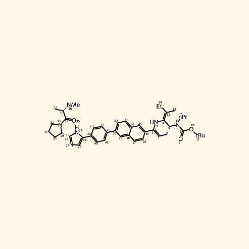 C/C=C(\N/C(CN(CCC)C(=O)OC(C)(C)C)=C(/C)CC)c1ccc2cc(-c3ccc(-c4cnc([C@@H]5CCCN5C(=O)[C@H](C)NC)[nH]4)cc3)ccc2c1